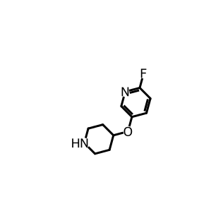 Fc1ccc(OC2CCNCC2)cn1